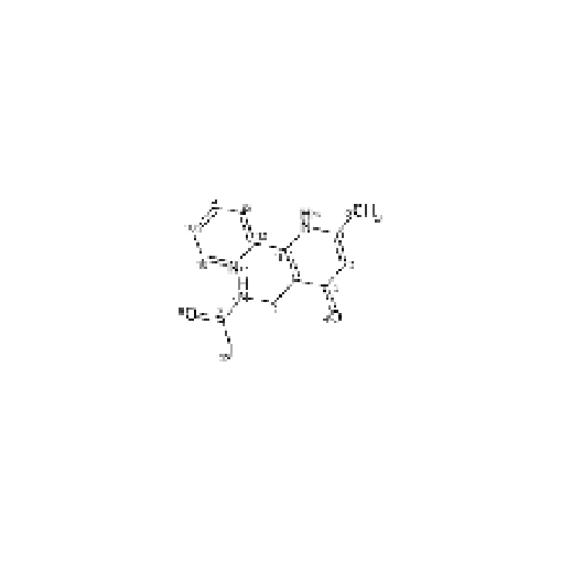 Cc1cc(=O)c(CNC(=O)I)c(-c2ccccn2)[nH]1